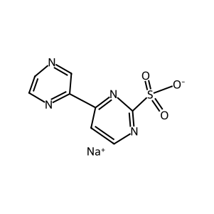 O=S(=O)([O-])c1nccc(-c2cnccn2)n1.[Na+]